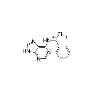 C[C@@H](Nc1ncnc2[nH]cnc12)c1ccccc1